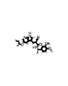 CC[C@H](C)Oc1cnc2[nH]cc(/C=C(\C#N)C(=O)N[C@H](C)c3ccc(OC)c(OC)c3)c2c1